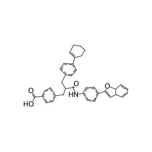 O=C(O)c1ccc(CC(Cc2ccc(C3=CCCCC3)cc2)C(=O)Nc2ccc(C3=CC4C=CC=CC4O3)cc2)cc1